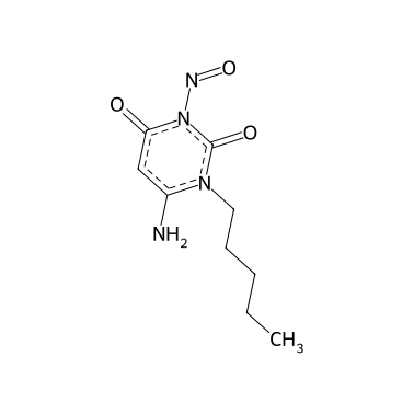 CCCCCn1c(N)cc(=O)n(N=O)c1=O